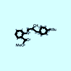 COC(=O)c1ccccc1N=CC(C)Cc1ccc(C(C)(C)C)cc1